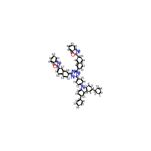 c1ccc(-c2ccc3c(c2)c2cc(-c4ccccc4)ccc2n3-c2ccc(-c3nc(-c4ccc5ccc(-c6nc7ccccc7o6)cc5c4)nc(-c4ccc5ccc(-c6nc7ccccc7o6)cc5c4)n3)cc2)cc1